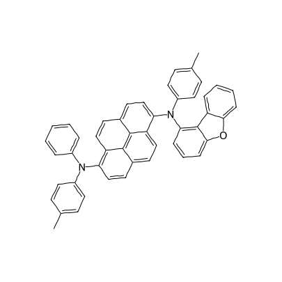 Cc1ccc(N(c2ccccc2)c2ccc3ccc4c(N(c5ccc(C)cc5)c5cccc6oc7ccccc7c56)ccc5ccc2c3c54)cc1